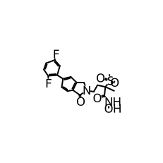 CC(CCN1Cc2cc(-c3cc(F)ccc3F)ccc2C1=O)(C(=O)NO)S(C)(=O)=O